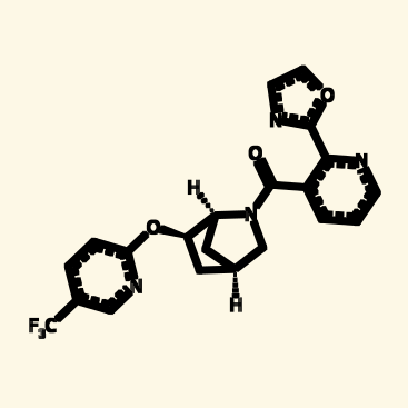 O=C(c1cccnc1-c1ncco1)N1C[C@H]2C[C@@H](Oc3ccc(C(F)(F)F)cn3)[C@@H]1C2